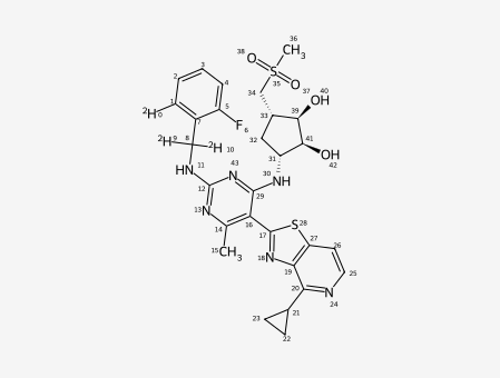 [2H]c1cccc(F)c1C([2H])([2H])Nc1nc(C)c(-c2nc3c(C4CC4)nccc3s2)c(N[C@@H]2C[C@H](CS(C)(=O)=O)[C@@H](O)[C@H]2O)n1